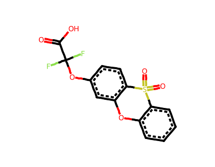 O=C(O)C(F)(F)Oc1ccc2c(c1)Oc1ccccc1S2(=O)=O